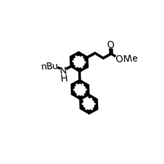 CCCCNc1ccc(CCC(=O)OC)cc1-c1ccc2ccccc2c1